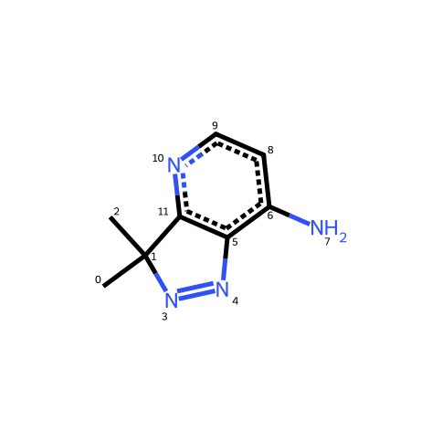 CC1(C)N=Nc2c(N)ccnc21